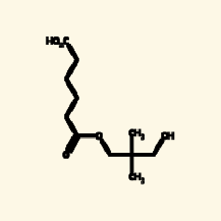 CC(C)(CO)COC(=O)CCCCC(=O)O